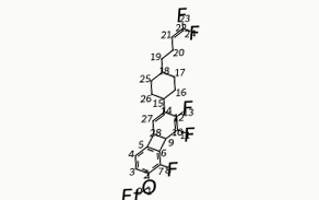 CCOc1ccc2c(c1F)C1C(F)=C(F)C(C3CCC(CCC=C(F)F)CC3)=CC21